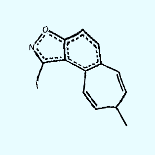 CC1C=Cc2ccc3onc(I)c3c2C=C1